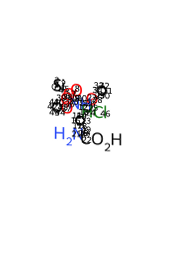 C[Si](C)(C)CCOC(=O)[C@H](Cc1cc(-c2cccc(C[C@H](N)C(=O)O)c2)ccc1OCc1ccccc1)NC(=O)OCc1ccccc1.Cl